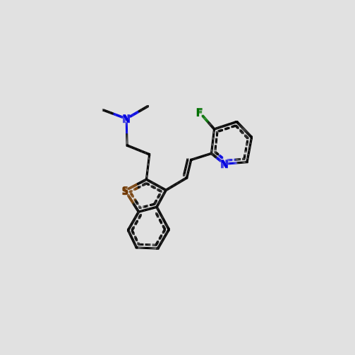 CN(C)CCc1sc2ccccc2c1C=Cc1ncccc1F